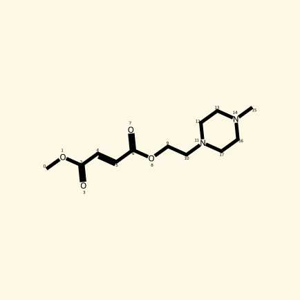 COC(=O)/C=C/C(=O)OCCN1CCN(C)CC1